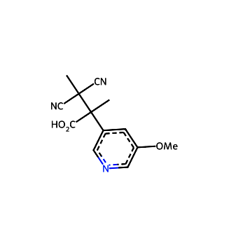 COc1cncc(C(C)(C(=O)O)C(C)(C#N)C#N)c1